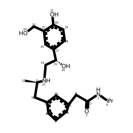 CC(C)NC(=O)Cc1cccc(C[C@@H](C)NC[C@@H](O)c2ccc(O)c(CO)c2)c1